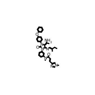 CC/C(C)=C/N=C1\C(=C(/C)N)N(c2ccc(Oc3ccccc3)cc2)C(=O)N1c1cccc(N(C)C(=O)/C=C/c2cn(C)cn2)c1